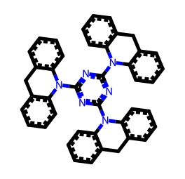 c1ccc2c(c1)Cc1ccccc1N2c1nc(N2c3ccccc3Cc3ccccc32)nc(N2c3ccccc3Cc3ccccc32)n1